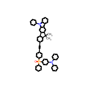 CC1(C)c2cc(C#Cc3ccc(P(=O)(c4ccccc4)c4ccc(N(c5ccccc5)c5ccccc5)cc4)cc3)ccc2-c2cc3c(cc21)c1ccccc1n3-c1ccccc1